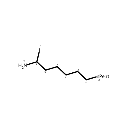 CCCCCCCCCCC(N)I